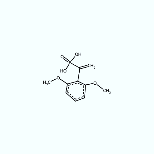 C=C(c1c(OC)cccc1OC)P(=O)(O)O